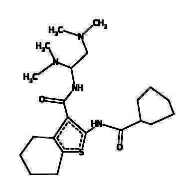 CN(C)CC(NC(=O)c1c(NC(=O)C2CCCCC2)sc2c1CCCC2)N(C)C